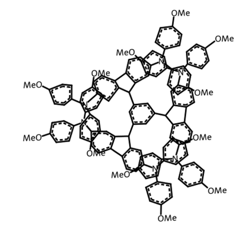 COc1ccc(N(c2ccc(OC)cc2)c2ccc3c(c2)C(c2cc(C4c5cc(N(c6ccc(OC)cc6)c6ccc(OC)cc6)ccc5-c5ccc(N(c6ccc(OC)cc6)c6ccc(OC)cc6)cc54)cc(C4c5cc(N(c6ccc(OC)cc6)c6ccc(OC)cc6)ccc5-c5ccc(N(c6ccc(OC)cc6)c6ccc(OC)cc6)cc54)c2)c2cc(N(c4ccc(OC)cc4)c4ccc(OC)cc4)ccc2-3)cc1